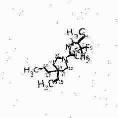 C=C(/N=C\C(=C/C)C(F)(F)F)N1CCC(CC)(CCC)CC1